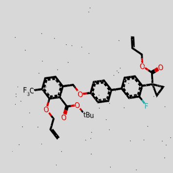 C=CCOC(=O)C1(c2ccc(-c3ccc(OCc4ccc(C(F)(F)F)c(OCC=C)c4C(=O)OC(C)(C)C)cc3)cc2F)CC1